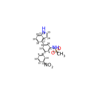 CS(=O)(=O)Nc1cc(-c2cccc([N+](=O)[O-])c2)cc(-c2cccc3[nH]ccc23)c1